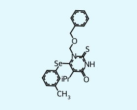 Cc1cccc([Se]c2c(C(C)C)c(=O)[nH]c(=S)n2COCc2ccccc2)c1